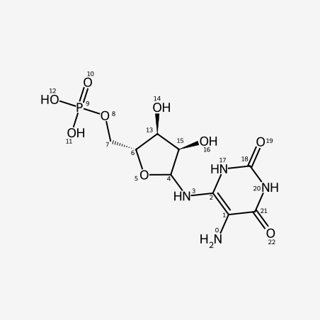 Nc1c(NC2O[C@H](COP(=O)(O)O)[C@@H](O)[C@H]2O)[nH]c(=O)[nH]c1=O